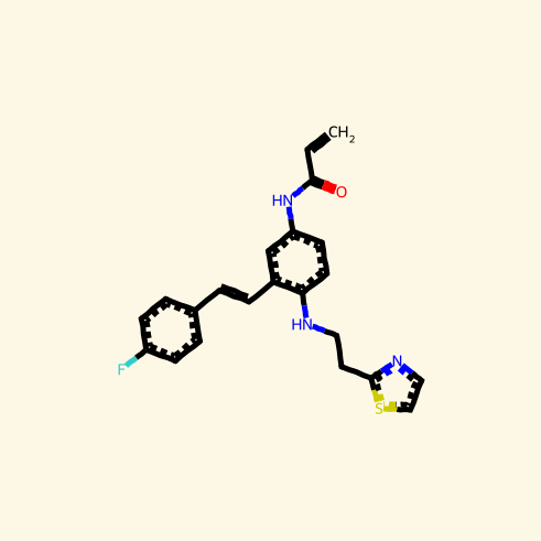 C=CC(=O)Nc1ccc(NCCc2nccs2)c(/C=C/c2ccc(F)cc2)c1